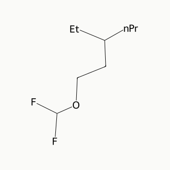 CCCC(CC)CCOC(F)F